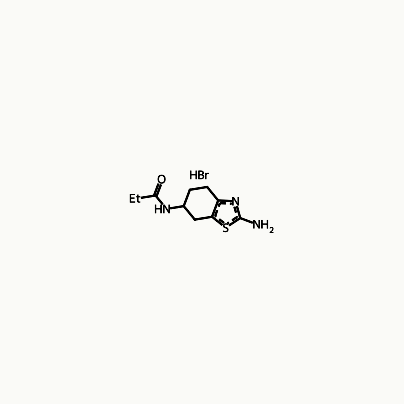 Br.CCC(=O)NC1CCc2nc(N)sc2C1